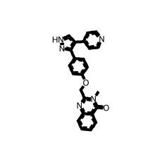 Cn1c(COc2ccc(-c3n[nH]cc3-c3ccncc3)cc2)nc2ccccc2c1=O